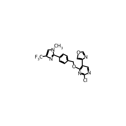 Cn1cc(C(F)(F)F)nc1-c1ccc(COc2nc(Cl)ncc2-c2cocn2)cc1